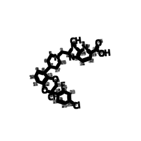 Cn1c(CN2CCC(c3cccc4c3OCC(C)(c3ccc(Cl)cc3F)O4)CC2)nc2ccc(C(=O)O)nc21